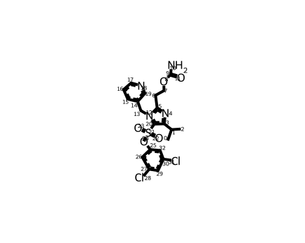 CC(C)c1nc(CCOC(N)=O)n(Cc2cccnc2)c1S(=O)(=O)Oc1cc(Cl)cc(Cl)c1